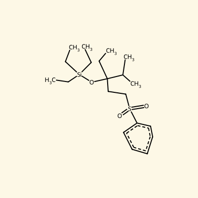 CCC(CCS(=O)(=O)c1ccccc1)(O[Si](CC)(CC)CC)C(C)C